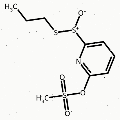 CCCS[S+]([O-])c1cccc(OS(C)(=O)=O)n1